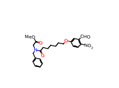 COC(=O)CN(Cc1ccccc1)C(=O)CCCCCCOc1ccc([N+](=O)[O-])c(C=O)c1